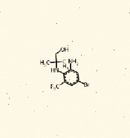 CC(C)(CO)Nc1c(N)cc(Br)cc1C(F)(F)F